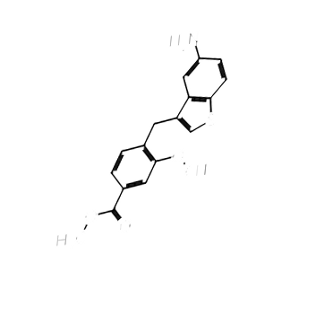 COC(=O)c1ccc(Cc2csc3ccc(N)cc23)c(OC)c1